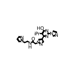 CC(C)c1c(O)nc(-n2ccnc2)nc1-c1cnn(CC(=O)NCCn2cccn2)c1